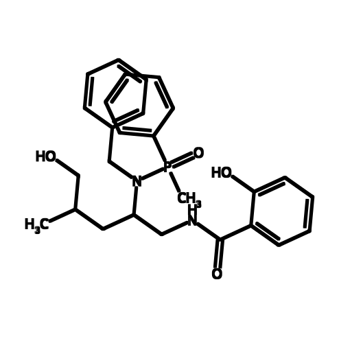 CC(CO)CC(CNC(=O)c1ccccc1O)N(Cc1ccccc1)P(C)(=O)c1ccccc1